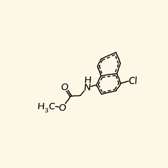 COC(=O)CNc1ccc(Cl)c2ccccc12